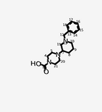 O=C(O)N1CCN(C2CCCN(Cc3ccccc3)C2)CC1